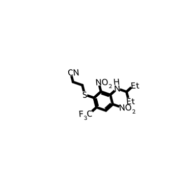 CCC(CC)Nc1c([N+](=O)[O-])cc(C(F)(F)F)c(SCCC#N)c1[N+](=O)[O-]